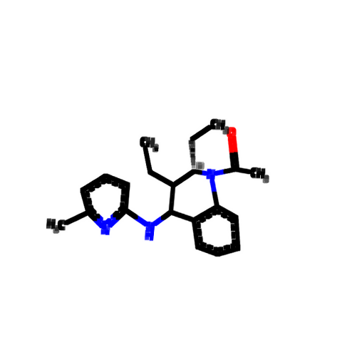 CCC1C(Nc2cccc(C)n2)c2ccccc2N(C(C)=O)[C@H]1CC